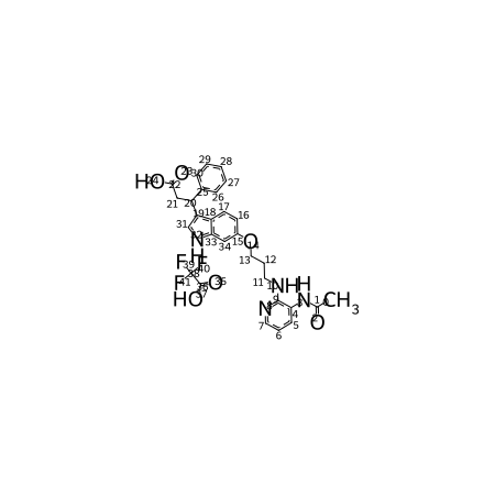 CC(=O)Nc1cccnc1NCCCOc1ccc2c(C(CC(=O)O)c3ccccc3)c[nH]c2c1.O=C(O)C(F)(F)F